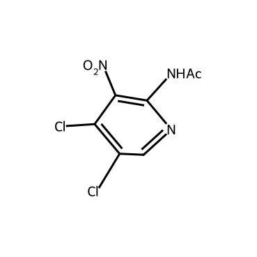 CC(=O)Nc1ncc(Cl)c(Cl)c1[N+](=O)[O-]